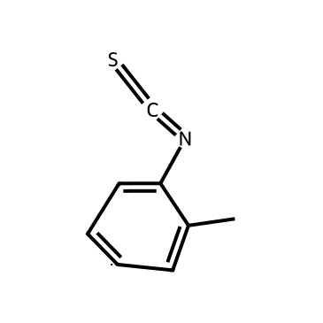 Cc1c[c]ccc1N=C=S